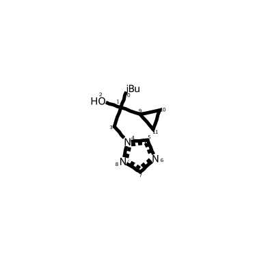 CCC(C)C(O)(Cn1cncn1)C1CC1